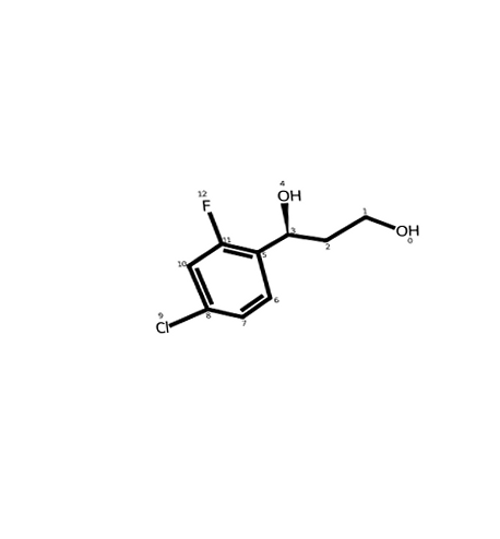 OCC[C@H](O)c1ccc(Cl)cc1F